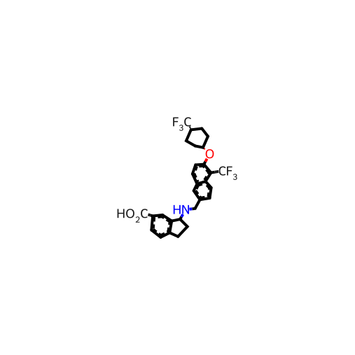 O=C(O)c1ccc2c(c1)C(NCc1ccc3c(C(F)(F)F)c(O[C@H]4CC[C@@H](C(F)(F)F)CC4)ccc3c1)CC2